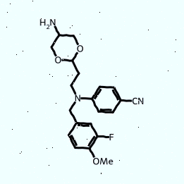 COc1ccc(CN(CCC2OCC(N)CO2)c2ccc(C#N)cc2)cc1F